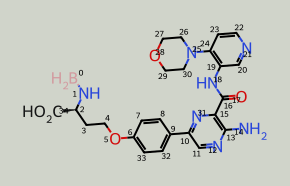 BN[C@@H](CCOc1ccc(-c2cnc(N)c(C(=O)Nc3cnccc3N3CCOCC3)n2)cc1)C(=O)O